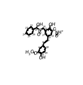 C=[NH+][O-].COc1cc(C=Cc2ccc(O)c(C=[N+]([O-])C(O)c3ccccc3)c2)ccc1O